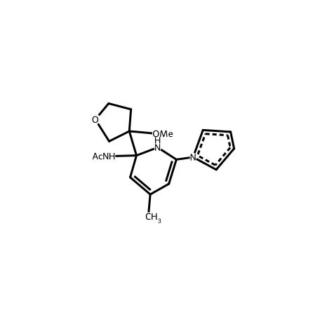 COC1(C2(NC(C)=O)C=C(C)C=C(n3cccc3)N2)CCOC1